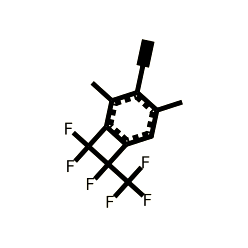 C#Cc1c(C)cc2c(c1C)C(F)(F)C2(F)C(F)(F)F